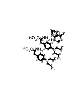 N[C@@H](Cc1ccc(N(CCCl)CCCl)cc1)C(=O)O.N[C@@H](Cc1ccc(N(CCCl)CCCl)cc1)C(=O)O.S=c1nc[nH]c2nc[nH]c12